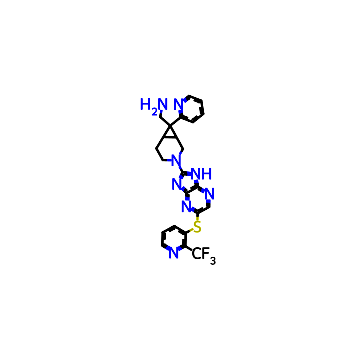 NCC1(c2ccccn2)C2CCN(c3nc4nc(Sc5cccnc5C(F)(F)F)cnc4[nH]3)CC21